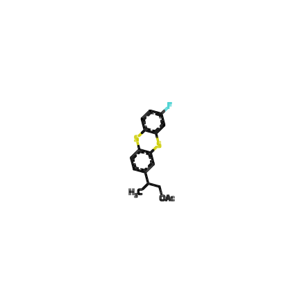 CC(=O)OCC(C)c1ccc2c(c1)Sc1cc(F)ccc1S2